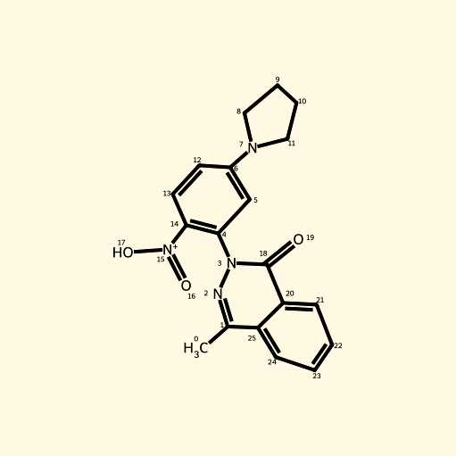 Cc1nn(-c2cc(N3CCCC3)ccc2[N+](=O)O)c(=O)c2ccccc12